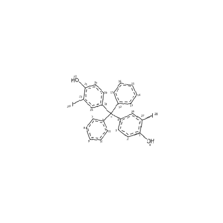 Oc1ccc(C(c2ccccc2)(c2ccccc2)c2ccc(O)c(I)c2)cc1I